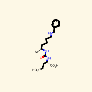 CC(=O)[C@H](CCCCNCc1ccccc1)NC(=O)N[C@@H](CCC(=O)O)C(=O)O